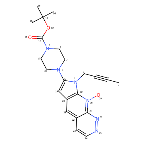 CC#CCn1c(N2CCN(C(=O)OC(C)(C)C)CC2)cc2cc3ccnnc3[n+]([O-])c21